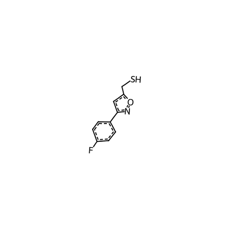 Fc1ccc(-c2cc(CS)on2)cc1